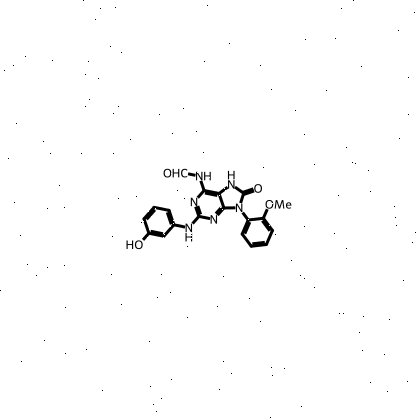 COc1ccccc1-n1c(=O)[nH]c2c(NC=O)nc(Nc3cccc(O)c3)nc21